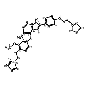 COc1cc(Cc2c(O)ccc3[nH]c(-c4ccc(OCCN5CCCC5)cc4)nc23)ccc1CCn1ccnc1